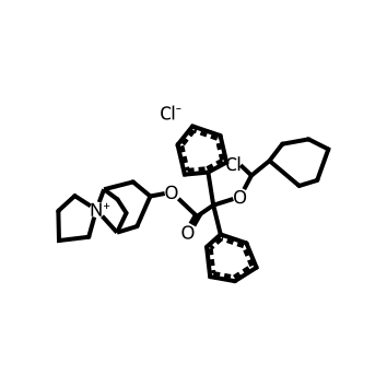 O=C(OC1CC2CCC(C1)[N+]21CCCC1)C(OC(Cl)C1CCCCC1)(c1ccccc1)c1ccccc1.[Cl-]